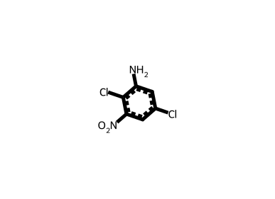 Nc1cc(Cl)cc([N+](=O)[O-])c1Cl